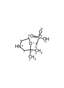 CC1(C)CNCCO1.O=S(=O)(O)F